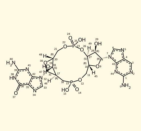 Nc1ncc2ncn([C@@H]3O[C@@H]4COP(=O)(O)C[C@@H]5[C@H](O)[C@@H](COP(=O)(O)O[C@H]4[C@H]3O)O[C@H]5n3cnc4c(=O)[nH]c(N)nc43)c2n1